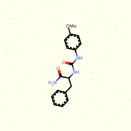 COc1ccc(NC(=O)NC(Cc2ccccc2)C(N)=O)cc1